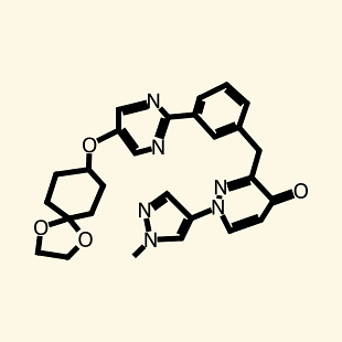 Cn1cc(-n2ccc(=O)c(Cc3cccc(-c4ncc(OC5CCC6(CC5)OCCO6)cn4)c3)n2)cn1